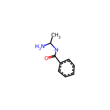 CC(N)[N]C(=O)c1ccccc1